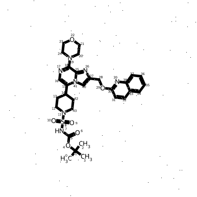 CC(C)(C)OC(=O)NS(=O)(=O)N1CCC(c2cnc(N3CCOCC3)c3nc(COc4ccc5ccccc5n4)cn23)CC1